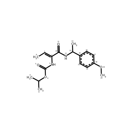 CC=C(NC(=O)OC(C)C)C(=O)NC(C)c1ccc(OC)cc1